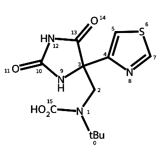 CC(C)(C)N(CC1(c2cscn2)NC(=O)NC1=O)C(=O)O